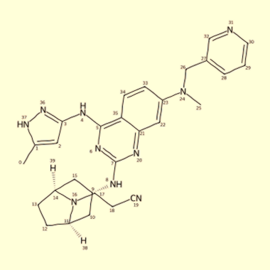 Cc1cc(Nc2nc(N[C@@H]3C[C@H]4CC[C@@H](C3)N4CCC#N)nc3cc(N(C)Cc4cccnc4)ccc23)n[nH]1